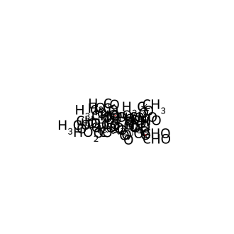 C=C(C)C(=O)OCC(O)COC(=O)CC(COC=O)(OC=O)OC(=O)/C=C(/CC(=O)OOC(=O)C/C(=C/C(=O)OC(CC(=O)O)(CC(=O)OCC(O)COC(=O)C(=C)C)C(=O)O)C(=O)OC(CC(=O)O)(CC(=O)OCC(O)COC(=O)C(=C)C)C(=O)O)C(=O)OC(COC=O)(CC(=O)OCC(O)COC(=O)C(=C)C)OC=O